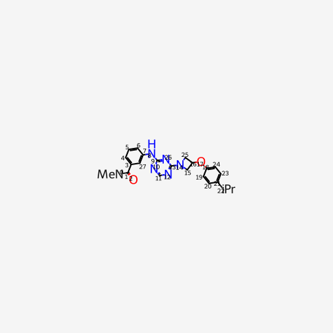 CNC(=O)c1cccc(Nc2ncnc(N3CC(Oc4ccc(C(C)C)cc4)C3)n2)c1